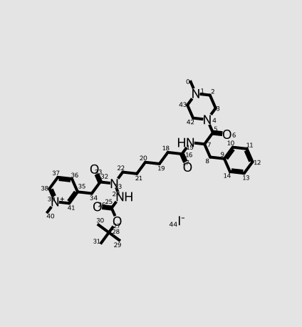 CN1CCN(C(=O)C(Cc2ccccc2)NC(=O)CCCCCN(NC(=O)OC(C)(C)C)C(=O)Cc2ccc[n+](C)c2)CC1.[I-]